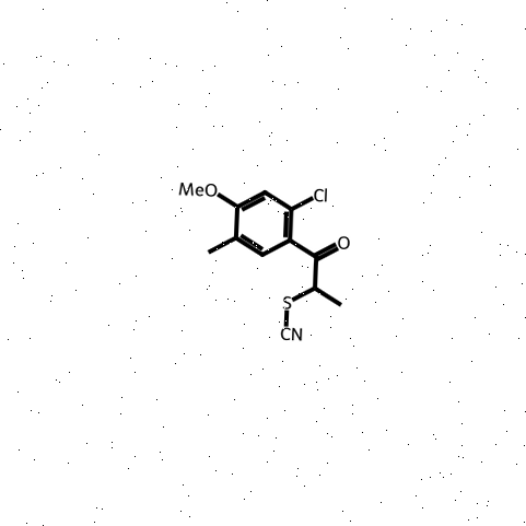 COc1cc(Cl)c(C(=O)C(C)SC#N)cc1C